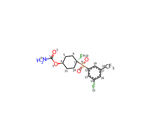 NC(=O)O[C@H]1CC[C@@](F)(S(=O)(=O)c2cc(F)cc(C(F)(F)F)c2)CC1